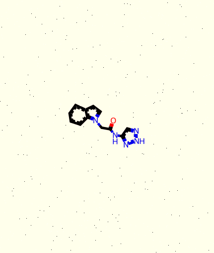 O=C(Cn1ccc2ccccc21)Nc1cn[nH]n1